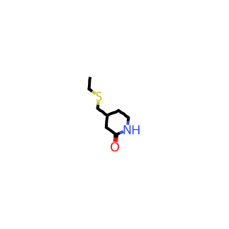 CCSCC1CCNC(=O)C1